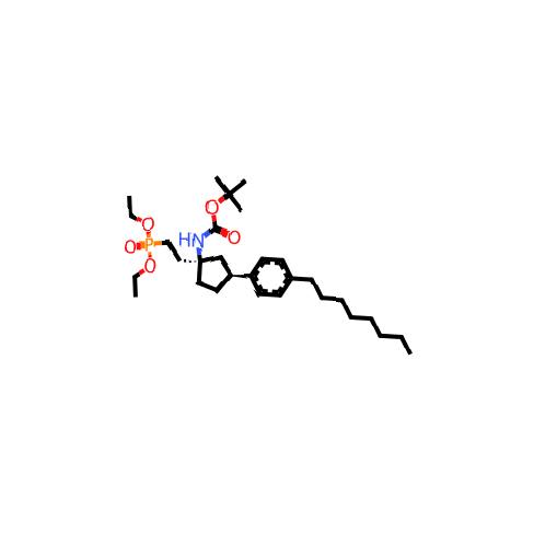 CCCCCCCCc1ccc([C@H]2CC[C@@](CCP(=O)(OCC)OCC)(NC(=O)OC(C)(C)C)C2)cc1